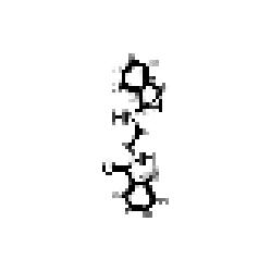 O=C(NCCNC1=NCc2ccccc21)c1ccccc1F